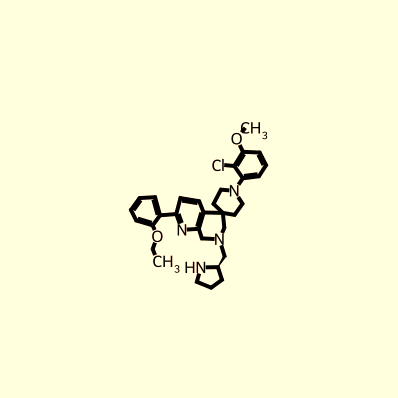 CCOc1ccccc1-c1ccc2c(n1)CN(C[C@H]1CCCN1)CC21CCN(c2cccc(OC)c2Cl)CC1